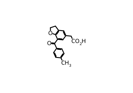 Cc1ccc(C(=O)c2cc(CC(=O)O)cc3c2OCC3)cc1